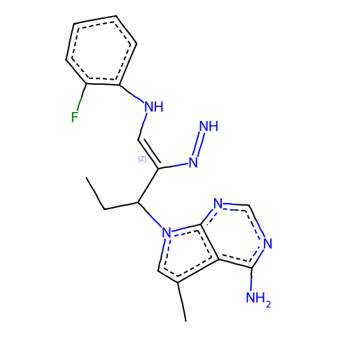 CCC(/C(=C/Nc1ccccc1F)N=N)n1cc(C)c2c(N)ncnc21